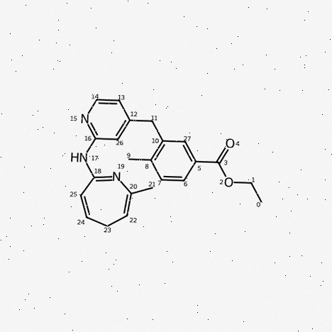 CCOC(=O)c1ccc(C)c(Cc2ccnc(NC3=NC(C)=CCC=C3)c2)c1